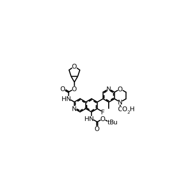 Cc1c(-c2cc3cc(NC(=O)OC4C5COCC54)ncc3c(NC(=O)OC(C)(C)C)c2F)cnc2c1N(C(=O)O)CCO2